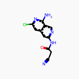 N#CCC(=O)Nc1cc2cc(Cl)nc(N)c2cn1